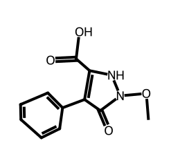 COn1[nH]c(C(=O)O)c(-c2ccccc2)c1=O